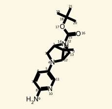 C[C@H]1C2CN(c3ccc(N)nc3)C1CN2C(=O)OC(C)(C)C